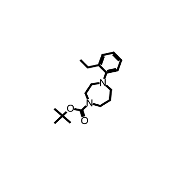 CCc1ccccc1N1CCCN(C(=O)OC(C)(C)C)CC1